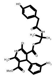 CCC1=C(C(=O)OCC(C)(C)NC(=O)Cc2ccc(O)cc2)C(c2cccc([N+](=O)[O-])c2)C(C(=O)OC)=C(C)N1